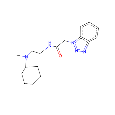 CN(CCNC(=O)Cn1nnc2ccccc21)C1CCCCC1